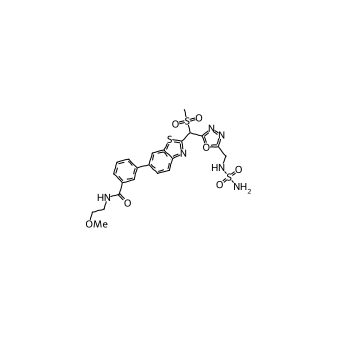 COCCNC(=O)c1cccc(-c2ccc3nc(C(c4nnc(CNS(N)(=O)=O)o4)S(C)(=O)=O)sc3c2)c1